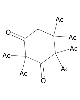 CC(=O)C1(C(C)=O)C(=O)CC(C(C)=O)(C(C)=O)C(C(C)=O)(C(C)=O)C1=O